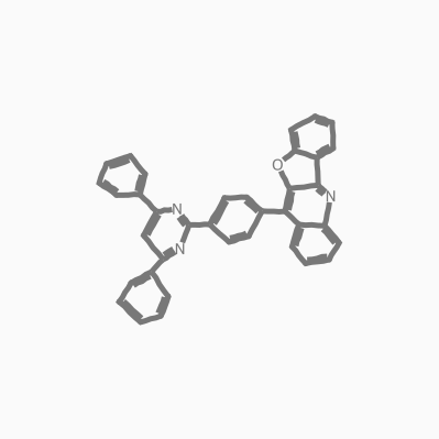 c1ccc(-c2cc(-c3ccccc3)nc(-c3ccc(-c4c5ccccc5nc5c4oc4ccccc45)cc3)n2)cc1